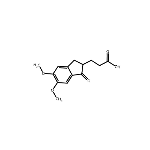 COc1cc2c(cc1OC)C(=O)C(CCC(=O)O)C2